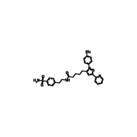 CC(C)(C)c1ccc(-n2nc(-c3ccccn3)cc2CCCCC(=O)NCCc2ccc(S(N)(=O)=O)cc2)cc1